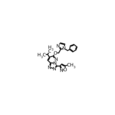 Cc1cc(-c2nnc3cc(C(C)C)c(OCc4nccn4Cc4ccccc4)nn23)no1